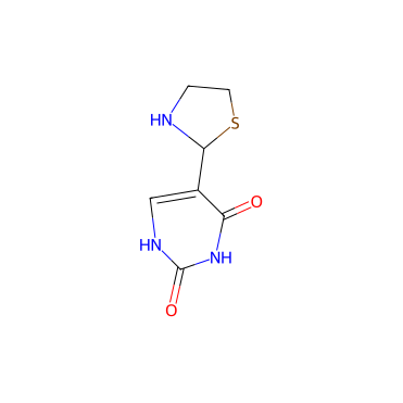 O=c1[nH]cc(C2NCCS2)c(=O)[nH]1